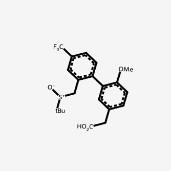 COc1ccc(CC(=O)O)cc1-c1ccc(C(F)(F)F)cc1C[S+]([O-])C(C)(C)C